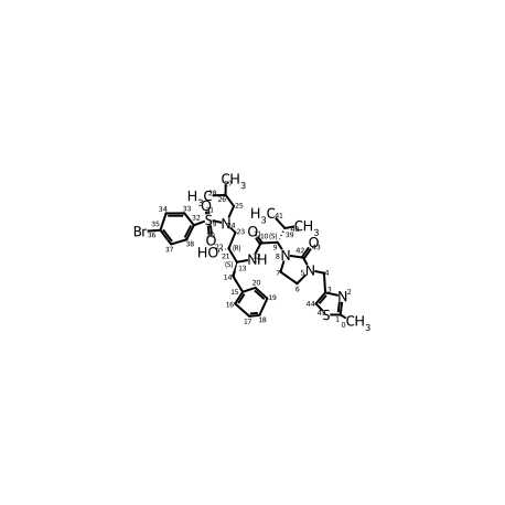 Cc1nc(CN2CCN([C@H](C(=O)N[C@@H](Cc3ccccc3)[C@H](O)CN(CC(C)C)S(=O)(=O)c3ccc(Br)cc3)C(C)C)C2=O)cs1